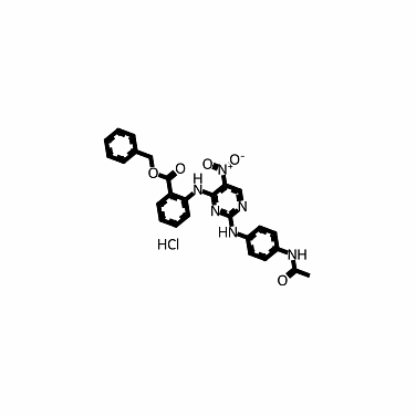 CC(=O)Nc1ccc(Nc2ncc([N+](=O)[O-])c(Nc3ccccc3C(=O)OCc3ccccc3)n2)cc1.Cl